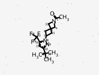 CC(=O)N1CC2(CC(n3nc(C(C)(C)C)cc3C(F)(F)F)C2)C1